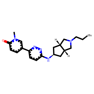 Cn1cc(-c2ccc(N[C@H]3C[C@@H]4CN(CCC(C)(C)C)C[C@@H]4C3)nn2)ccc1=O